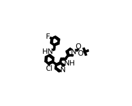 CC(C)(C)OC(=O)N1CC=C(c2cc3c(-c4cc(NCc5cccc(F)c5)ccc4Cl)ccnc3[nH]2)C1